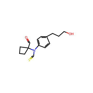 O=CC1(N(C=S)c2ccc(CCCO)cc2)CCC1